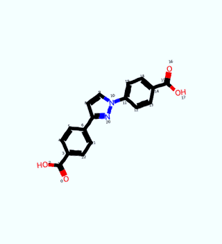 O=C(O)c1ccc(-c2ccn(-c3ccc(C(=O)O)cc3)n2)cc1